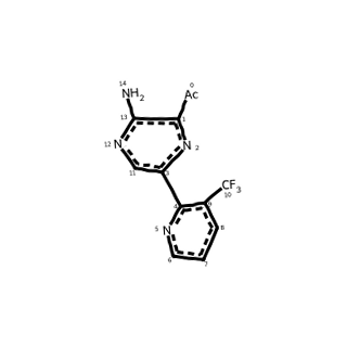 CC(=O)c1nc(-c2ncccc2C(F)(F)F)cnc1N